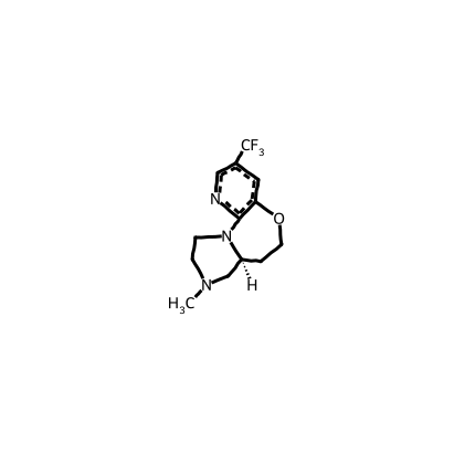 CN1CCN2c3ncc(C(F)(F)F)cc3OCC[C@H]2C1